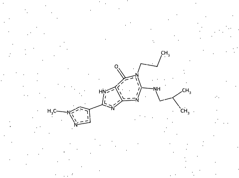 CCCn1c(NCC(C)C)nc2nc(-c3cnn(C)c3)[nH]c2c1=O